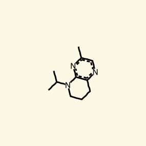 Cc1cnc2c(n1)N(C(C)C)CCC2